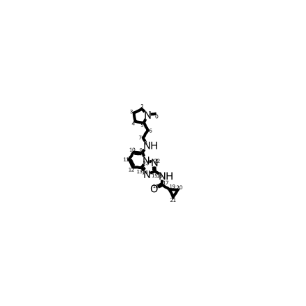 CN1CCCC1CCNc1cccc2nc(NC(=O)C3CC3)nn12